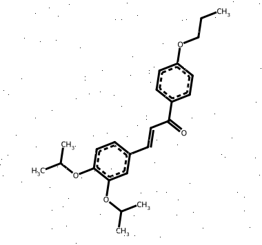 CCCOc1ccc(C(=O)/C=C/c2ccc(OC(C)C)c(OC(C)C)c2)cc1